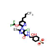 CCc1nc(C(=O)NC[C@]2(O)CC[C@@H](S(C)(=O)=O)CC2)c(Cl)n1-c1ncc(CCCC(F)(F)F)cc1OC(F)F